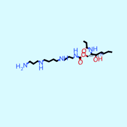 CC/C=C/[C@@H](O)[C@H](COC(=O)NCCCNCCCCNCCCN)NC(=O)CC